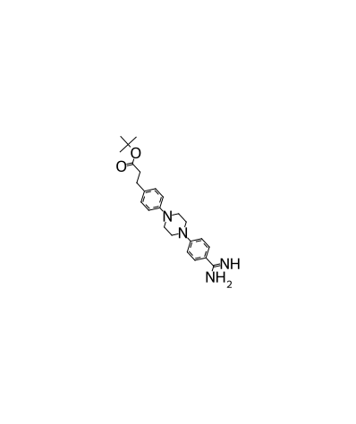 CC(C)(C)OC(=O)CCc1ccc(N2CCN(c3ccc(C(=N)N)cc3)CC2)cc1